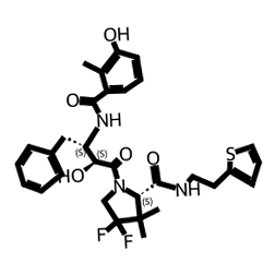 Cc1c(O)cccc1C(=O)N[C@@H](Cc1ccccc1)[C@H](O)C(=O)N1CC(F)(F)C(C)(C)[C@H]1C(=O)NCCc1cccs1